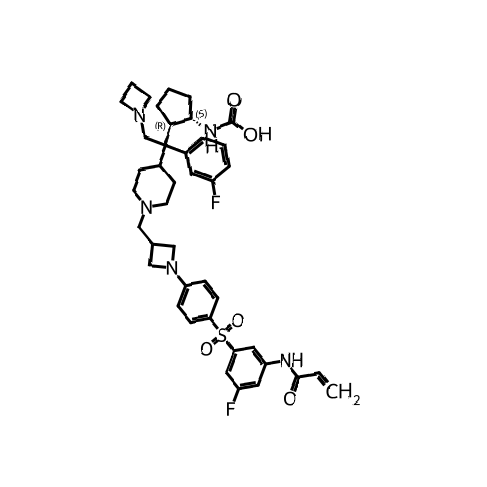 C=CC(=O)Nc1cc(F)cc(S(=O)(=O)c2ccc(N3CC(CN4CCC(C(CN5CCC5)(c5cccc(F)c5)[C@H]5CCC[C@@H]5NC(=O)O)CC4)C3)cc2)c1